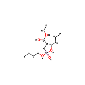 CCCCOP(=O)(CCC(=O)OCC)OCCCC